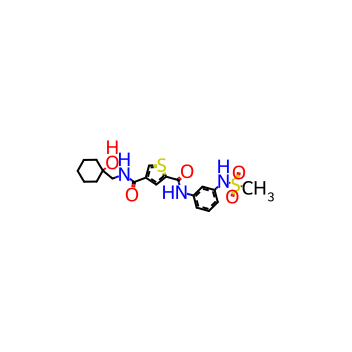 CS(=O)(=O)Nc1cccc(NC(=O)c2cc(C(=O)NCC3(O)CCCCC3)cs2)c1